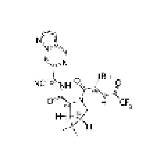 CC(C)(C)[C@H](NC(=O)C(F)(F)F)C(=O)N1C[C@H]2[C@@H]([C@H]1C(=O)N[C@H](C#N)c1cn3nccc3cn1)C2(C)C